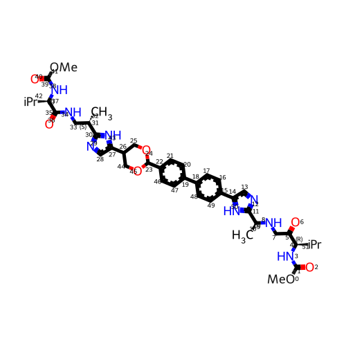 COC(=O)N[C@@H](C(=O)CN[C@@H](C)c1ncc(-c2ccc(-c3ccc(C4OCC(c5cnc([C@@H](C)CNC(=O)[C@H](NC(=O)OC)C(C)C)[nH]5)CO4)cc3)cc2)[nH]1)C(C)C